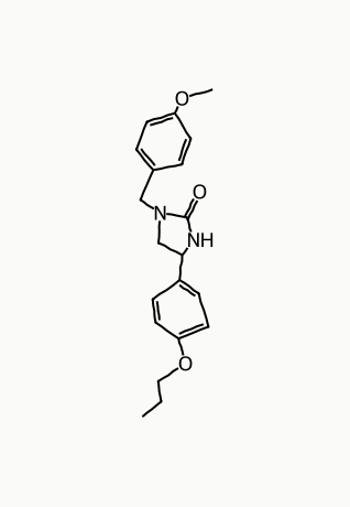 CCCOc1ccc(C2CN(Cc3ccc(OC)cc3)C(=O)N2)cc1